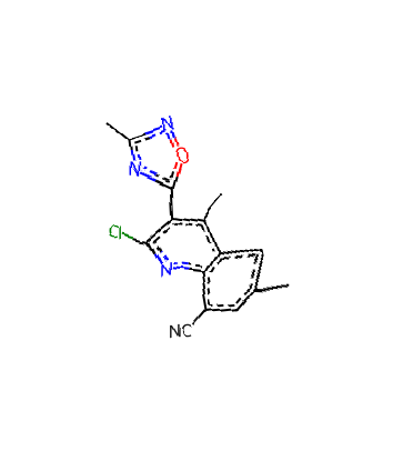 Cc1cc(C#N)c2nc(Cl)c(-c3nc(C)no3)c(C)c2c1